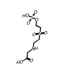 O=C(O)CNCCS(=O)(=O)CCOS(=O)(=O)O